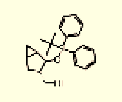 CC(C)(C)[Si](OC1C2CC2C[C@H]1CO)(c1ccccc1)c1ccccc1